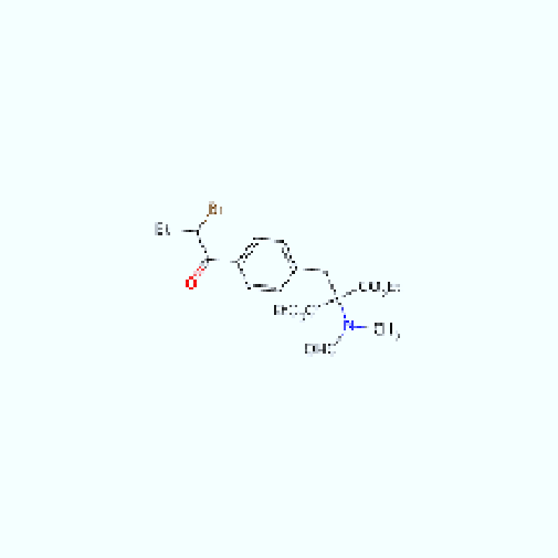 CCOC(=O)C(Cc1ccc(C(=O)C(Br)CC)cc1)(C(=O)OCC)N(C)C=O